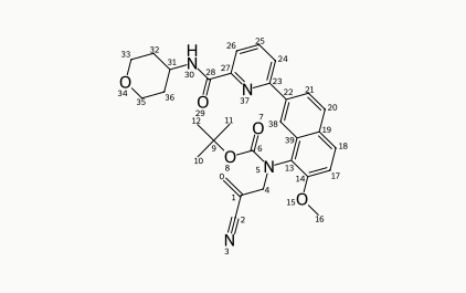 C=C(C#N)CN(C(=O)OC(C)(C)C)c1c(OC)ccc2ccc(-c3cccc(C(=O)NC4CCOCC4)n3)cc12